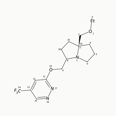 CCOC[C@@]12CCCN1C(COc1cc(C(F)(F)F)cnn1)CC2